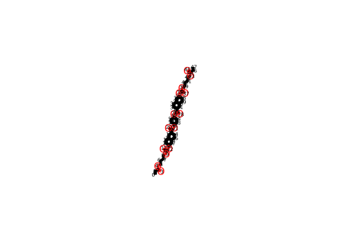 C=CC(=O)OCCCCOC(=O)Oc1ccc2cc(C(=O)Oc3ccc(OC(=O)c4ccc5cc(OC(=O)OCCCCOC(=O)C=C)ccc5c4)cc3)ccc2c1